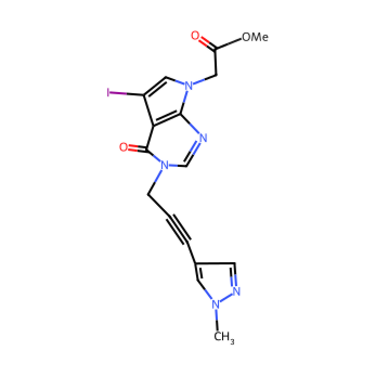 COC(=O)Cn1cc(I)c2c(=O)n(CC#Cc3cnn(C)c3)cnc21